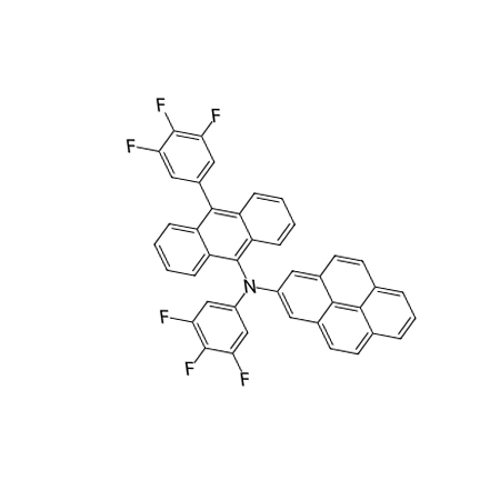 Fc1cc(-c2c3ccccc3c(N(c3cc(F)c(F)c(F)c3)c3cc4ccc5cccc6ccc(c3)c4c56)c3ccccc23)cc(F)c1F